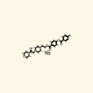 Cc1ccc(C(=O)Oc2ccc(C(=O)OCCN3CCN(CC(=O)N4CCOCC4)CC3)cc2)cc1.Cl.Cl